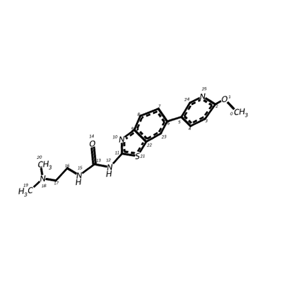 COc1ccc(-c2ccc3nc(NC(=O)NCCN(C)C)sc3c2)cn1